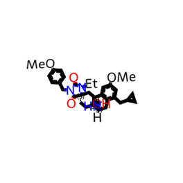 CCN1C(=O)N(Cc2ccc(OC)cc2)C(=O)[C@@]12CC[C@@]1(O)[C@H]3Cc4c(CC5CC5)cc(OC)cc4[C@@]1(CCN3)C2